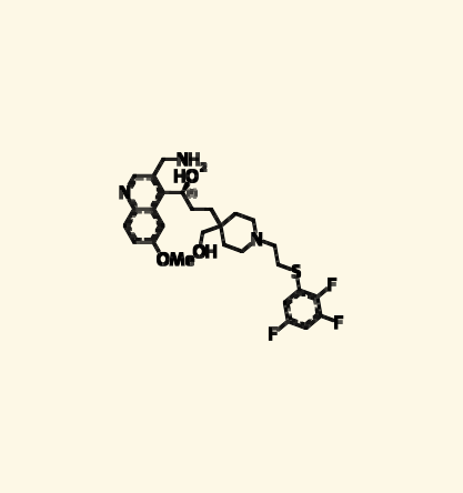 COc1ccc2ncc(CN)c([C@@H](O)CCC3(CO)CCN(CCSc4cc(F)cc(F)c4F)CC3)c2c1